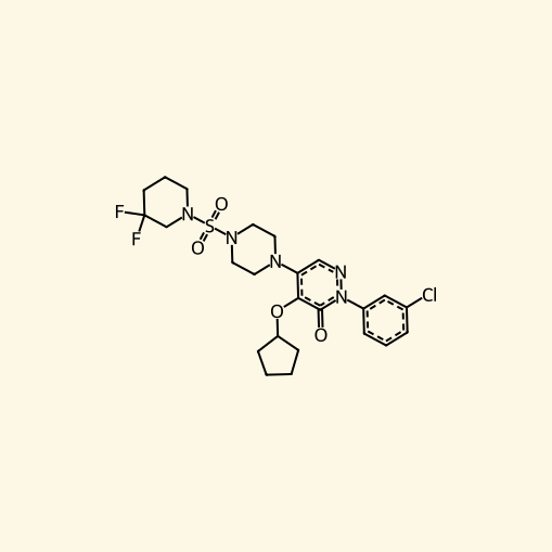 O=c1c(OC2CCCC2)c(N2CCN(S(=O)(=O)N3CCCC(F)(F)C3)CC2)cnn1-c1cccc(Cl)c1